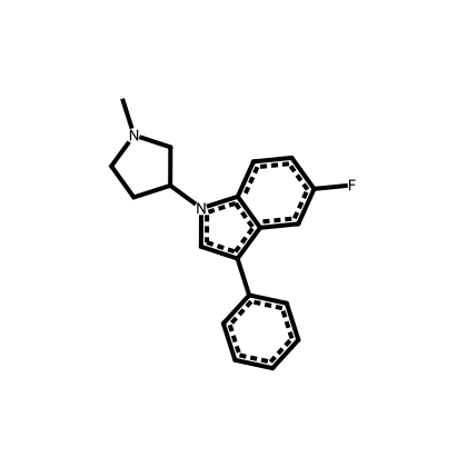 CN1CCC(n2cc(-c3ccccc3)c3cc(F)ccc32)C1